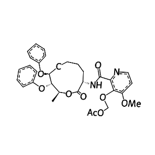 COc1ccnc(C(=O)N[C@H]2CCCC[C@H](Oc3ccccc3)[C@@H](Oc3ccccc3)[C@H](C)OC2=O)c1OCOC(C)=O